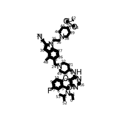 CCN(C(=O)c1cc(F)ccc1Oc1cncnc1NC1CCN(Cc2ccc3c(cc(C#N)n3CCN3CCC(S(C)(=O)=O)CC3)c2C)CC1)C(C)C